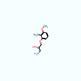 COc1cccc(OC[C@H](O)CN)c1C